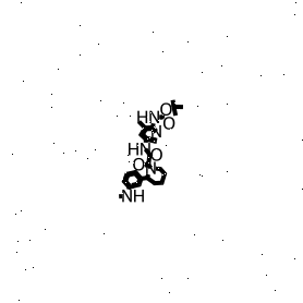 CNc1cccc(C2CCCCN2C(=O)C(=O)Nc2cnc(NC(=O)OC(C)(C)C)c(C)c2)c1